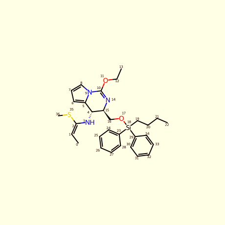 C/C=C(\N[C@@H]1c2cccn2C(OCC)=N[C@H]1CO[Si](CCCC)(c1ccccc1)c1ccccc1)SC